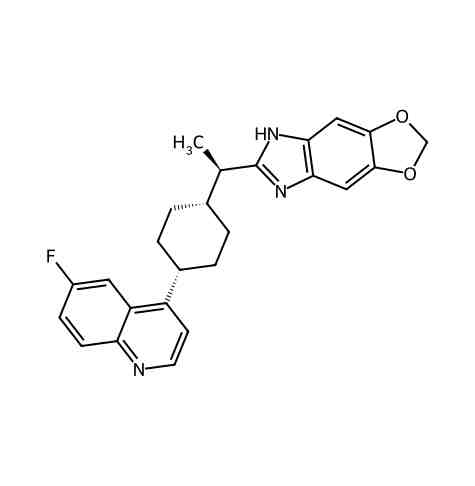 C[C@@H](c1nc2cc3c(cc2[nH]1)OCO3)[C@H]1CC[C@@H](c2ccnc3ccc(F)cc32)CC1